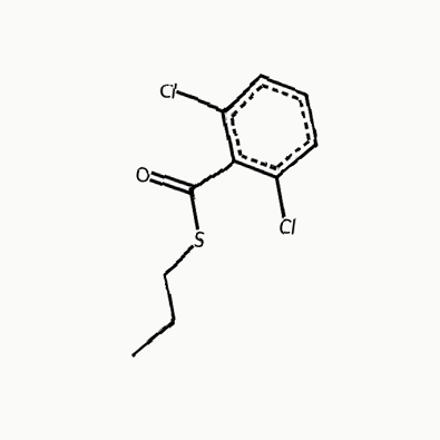 CCCSC(=O)c1c(Cl)cccc1Cl